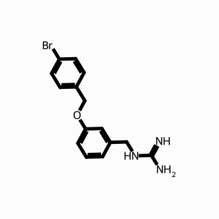 N=C(N)NCc1cccc(OCc2ccc(Br)cc2)c1